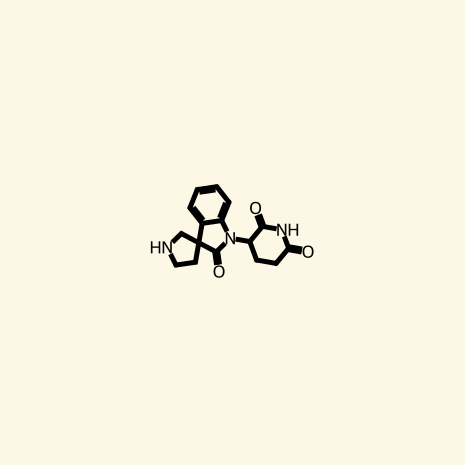 O=C1CCC(N2C(=O)C3(CCNC3)c3ccccc32)C(=O)N1